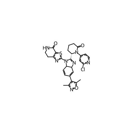 Cc1noc(C)c1C1=CC2N=C([C@@H]3CCCC(=O)N3c3ccnc(Cl)c3)N(c3nc4c(s3)C(=O)NCC4)C2C=C1